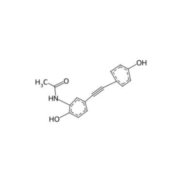 CC(=O)Nc1cc(C#Cc2ccc(O)cc2)ccc1O